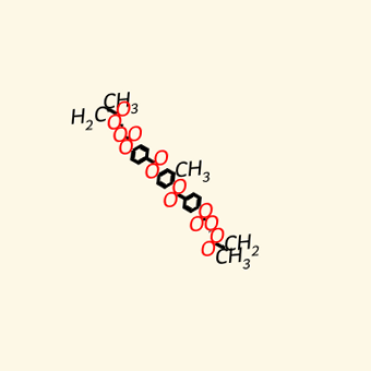 C=C(C)C(=O)OCOC(=O)Oc1ccc(C(=O)Oc2ccc(OC(=O)c3ccc(OC(=O)OCOC(=O)C(=C)C)cc3)c(C)c2)cc1